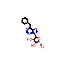 OC[C@H]1OC(n2cnc3c(Cc4ccccc4)ncnc32)[C@@H](O)[C@@H]1O